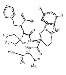 CC[C@H](C)[C@H](NC(=O)[C@@]1(NC(=O)C(N(Cc2ccccc2)C(=O)O)C(C)(CC)OC)CCc2[nH]c3c(Cl)cc(Cl)cc3c2C1)C(N)=O